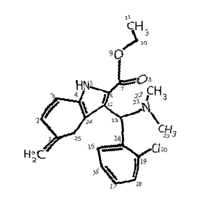 C=C1C=Cc2[nH]c(C(=O)OCC)c(C(c3ccccc3Cl)N(C)C)c2C1